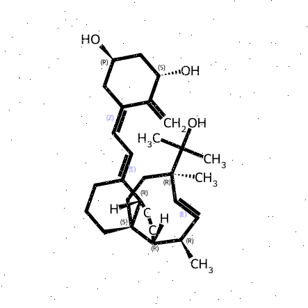 C=C1/C(=C\C=C2/CCC[C@]34CC[C@@](C)(C(C)(C)O)/C=C/[C@@H](C)[C@H]3CC[C@@H]24)C[C@@H](O)C[C@@H]1O